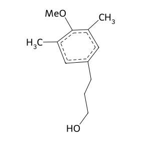 COc1c(C)cc(CCCO)cc1C